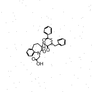 O=C(O)CN1C(=O)C(NC(=O)[C@H](Cc2ccccc2)SC(=O)c2ccccc2)CCc2ccccc21